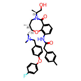 Cc1ccc(CC(=O)Nc2cccc3c2O[C@H](CN(C)Cc2ccc(Oc4ccc(F)cc4)cc2)[C@H](C)CN([C@@H](C)CO)C3=O)cc1